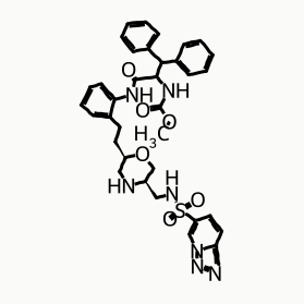 COC(=O)NC(C(=O)Nc1ccccc1CC[C@@H]1CN[C@H](CNS(=O)(=O)c2ccc3cnnn3c2)CO1)C(c1ccccc1)c1ccccc1